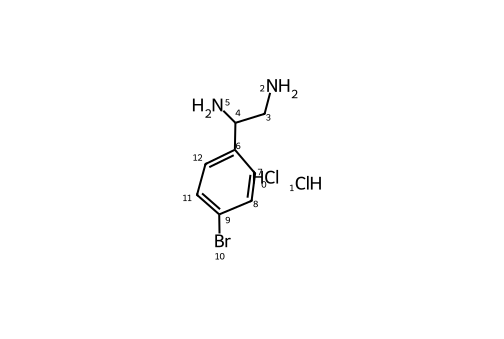 Cl.Cl.NCC(N)c1ccc(Br)cc1